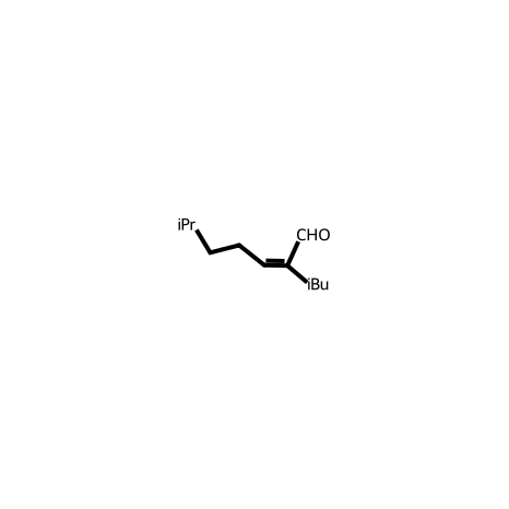 CCC(C)C(C=O)=CCCC(C)C